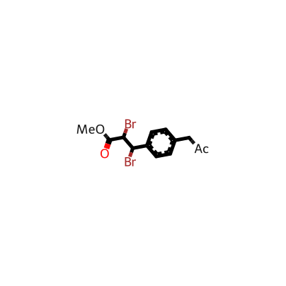 COC(=O)C(Br)C(Br)c1ccc(CC(C)=O)cc1